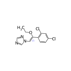 CCO/C(=C\n1cncn1)c1ccc(Cl)cc1Cl